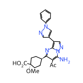 CO[C@]1(C(=O)O)CC[C@@H](c2nc3c(-c4cnn(-c5ccccc5)c4)cnn3c(N)c2C(C)=O)CC1